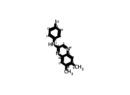 Cc1cc2ncc(Nc3ccc(I)cc3)nc2cc1C